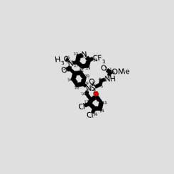 COC(=O)NCCS(=O)(=O)N(Cc1cccc(Cl)c1Cl)c1ccc(C(=O)N(C)c2ccc(C(F)(F)F)nc2)cc1